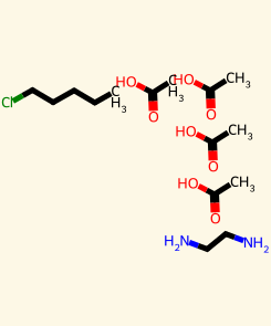 CC(=O)O.CC(=O)O.CC(=O)O.CC(=O)O.CCCCCCl.NCCN